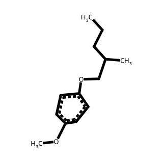 CCCC(C)COc1ccc(OC)cc1